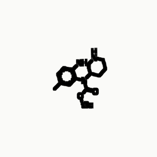 Cc1ccc(N)c(N(C(=O)OC(C)(C)C)C2CCCNC2)c1